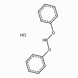 B(Oc1ccccc1)Oc1ccccc1.Cl